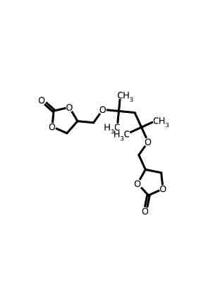 CC(C)(CC(C)(C)OCC1COC(=O)O1)OCC1COC(=O)O1